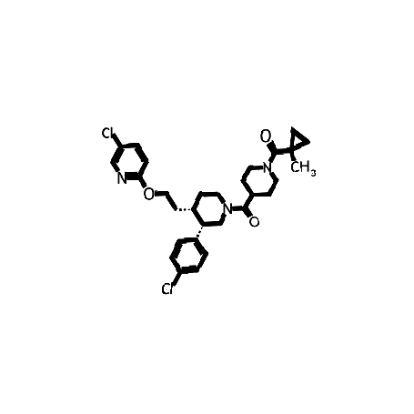 CC1(C(=O)N2CCC(C(=O)N3CC[C@@H](CCOc4ccc(Cl)cn4)[C@@H](c4ccc(Cl)cc4)C3)CC2)CC1